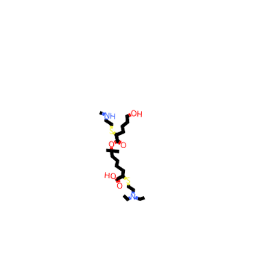 CCN(CC)CCSC(CCCCC(C)(C)OC(=O)C(CCCCO)SCCNC)C(=O)O